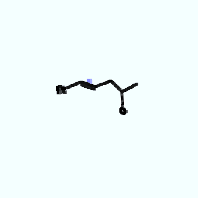 CC/C=C/CC(C)[O]